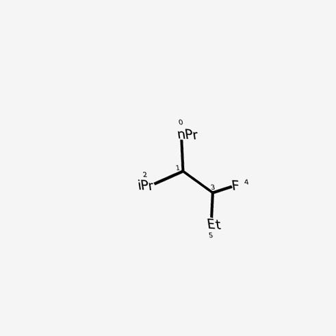 CCCC(C(C)C)C(F)CC